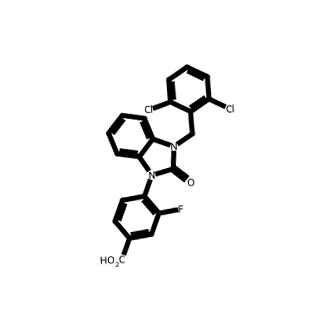 O=C(O)c1ccc(-n2c(=O)n(Cc3c(Cl)cccc3Cl)c3ccccc32)c(F)c1